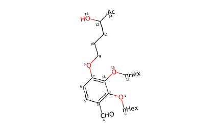 CCCCCCOc1c(C=O)ccc(OCCCC(O)C(C)=O)c1OCCCCCC